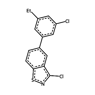 CCc1cc(Cl)cc(-c2ccc3snc(Cl)c3c2)c1